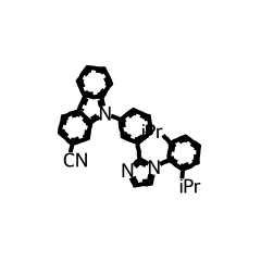 CC(C)c1cccc(C(C)C)c1-n1ccnc1-c1cccc(-n2c3ccccc3c3ccc(C#N)cc32)c1